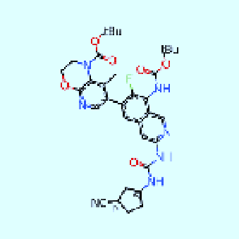 Cc1c(-c2cc3cc(NC(=O)N[C@H]4CC[C@@H](C#N)C4)ncc3c(NC(=O)OC(C)(C)C)c2F)cnc2c1N(C(=O)OC(C)(C)C)CCO2